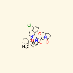 Cn1c(COc2ccc(Cl)c3c2C(CN2CC4(CC4)CC2=O)N(C(=O)C2CCCC[C@]2(C)C(=O)O)CC3)cccc1=O